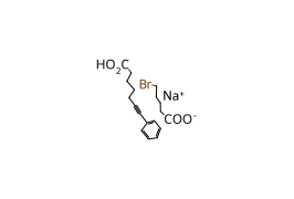 O=C(O)CCCCC#Cc1ccccc1.O=C([O-])CCCCBr.[Na+]